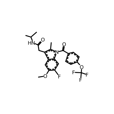 COc1cc2c(CC(=O)NC(C)C)c(C)n(C(=O)c3ccc(OC(F)(F)F)cc3)c2cc1F